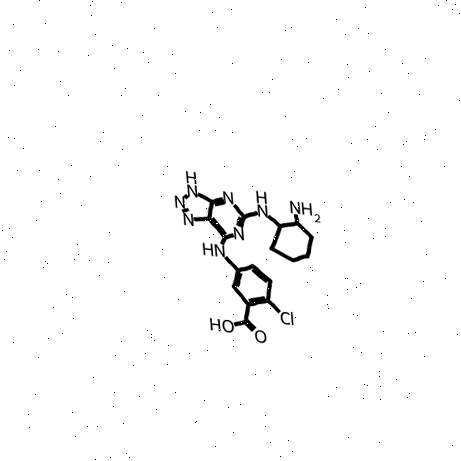 NC1CCCCC1Nc1nc(Nc2ccc(Cl)c(C(=O)O)c2)c2nn[nH]c2n1